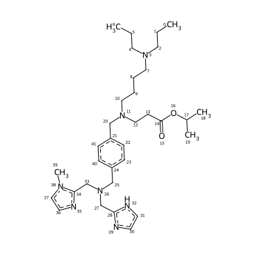 CCCN(CCC)CCCCN(CCC(=O)OC(C)C)Cc1ccc(CN(Cc2ncc[nH]2)Cc2nccn2C)cc1